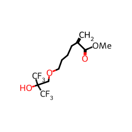 C=C(CCCCOCC(O)(C(F)(F)F)C(F)(F)F)C(=O)OC